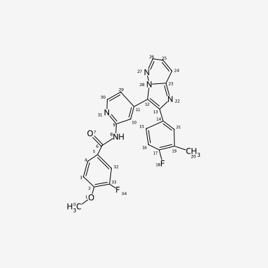 COc1ccc(C(=O)Nc2cc(-c3c(-c4ccc(F)c(C)c4)nc4cccnn34)ccn2)cc1F